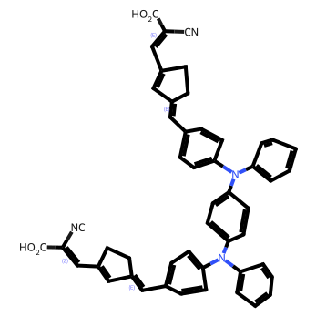 [C-]#[N+]/C(=C\C1=CC(=C/c2ccc(N(c3ccccc3)c3ccc(N(c4ccccc4)c4ccc(/C=C5C=C(/C=C(\C#N)C(=O)O)CC/5)cc4)cc3)cc2)/CC1)C(=O)O